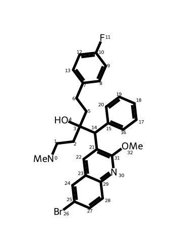 CNCCC(O)(CCc1ccc(F)cc1)C(c1ccccc1)c1cc2cc(Br)ccc2nc1OC